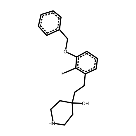 OC1(CCc2cccc(OCc3ccccc3)c2F)CCNCC1